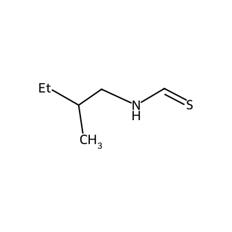 CCC(C)CNC=S